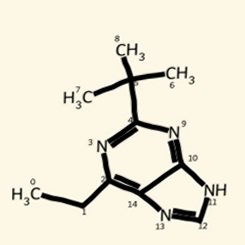 CCc1nc(C(C)(C)C)nc2[nH]cnc12